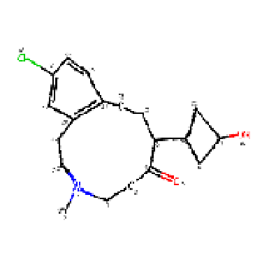 CC(C)N1CCC(=O)C(C2CC(O)C2)CCc2ccc(Cl)cc2CC1